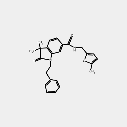 Cc1ccc(CNC(=O)c2ccc3c(c2)N(CCc2ccccc2)C(=O)C3(C)C)o1